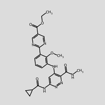 CCOC(=O)c1cnc(-c2cccc(Nc3cc(NC(=O)C4CC4)nnc3C(=O)NC)c2OC)nc1